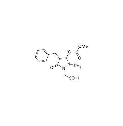 COC(=O)Oc1c(Cc2ccccc2)c(=O)n(CS(=O)(=O)O)n1C